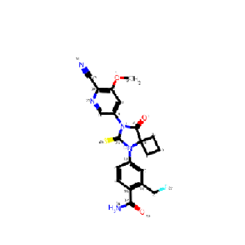 COc1cc(N2C(=O)C3(CCC3)N(c3ccc(C(N)=O)c(CF)c3)C2=S)cnc1C#N